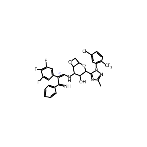 Cc1nc(C2OC3COC3C(N/C=C(\C(=N)c3ccccc3)c3cc(F)c(F)c(F)c3)C2O)n(-c2cc(Cl)ccc2C(F)(F)F)n1